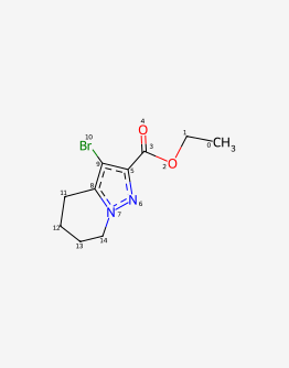 CCOC(=O)c1nn2c(c1Br)CCCC2